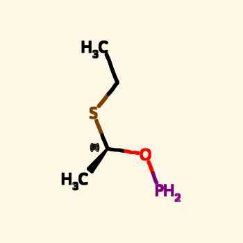 CCS[C@H](C)OP